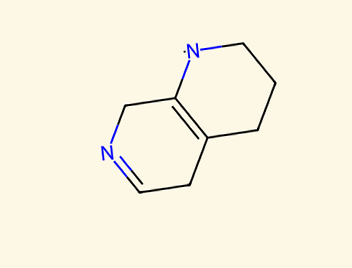 C1=NCC2=C(C1)CCC[N]2